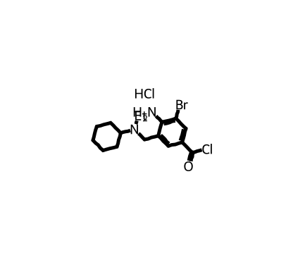 CCN(Cc1cc(C(=O)Cl)cc(Br)c1N)C1CCCCC1.Cl